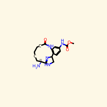 COC(=O)Nc1ccc2c(c1)NC(=O)CCCCC[C@H](N)C1=NC2CN1